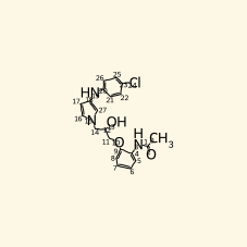 CC(=O)Nc1ccccc1OCC(O)Cn1ccc(Nc2ccc(Cl)cc2)c1